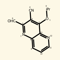 CC(C)Oc1c(C#N)c(C=O)nc2cccnc12